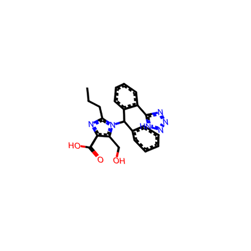 CCCc1nc(C(=O)O)c(CO)n1C(c1ccccc1)c1ccccc1-c1nnn[nH]1